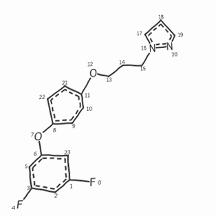 Fc1cc(F)cc(Oc2ccc(OCCCn3cccn3)cc2)c1